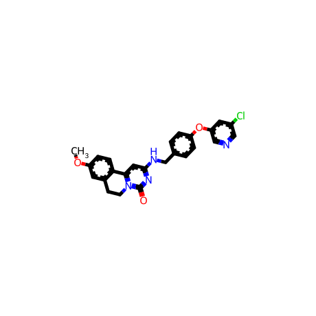 COc1ccc2c(c1)CCn1c-2cc(NCc2ccc(Oc3cncc(Cl)c3)cc2)nc1=O